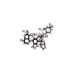 C[C@@H](O)CN1CC2CCC(C1)N2c1nc(OC[C@@H]2CCC(F)(F)CN2C)nc2c(F)c(-c3ncc(F)c4sc(N)c(C#N)c34)c3c(c12)COC3